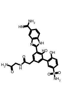 N=C(N)c1ccc2[nH]c(-c3cc(CC(=O)NCC(N)=O)cc(-c4cc(S(N)(=O)=O)ccc4O)c3O)nc2c1